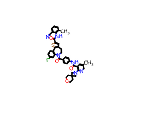 Cc1cnc(N2CC3(CCOCC3)C2)c(C(=O)Nc2ccc(C(=O)N3CCc4cc(C(=O)Nc5c(C)cccc5C#N)sc4-c4ccc(F)cc43)cc2)c1